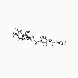 C#CCOc1ccc(CCNC(=O)c2ccc(F)cc2)cc1